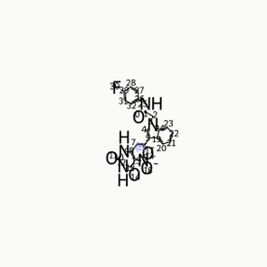 O=C(Cn1cc(/C=C/c2[nH]c(=O)[nH]c(=O)c2[N+](=O)[O-])c2ccccc21)Nc1ccc(F)cc1